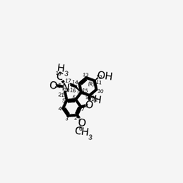 COc1ccc2c3c1O[C@H]1C[C@@H](O)C=C[C@@]31CC[N+](C)([O-])C2